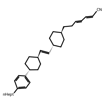 CCCCCCCc1ccc([C@H]2CC[C@H](C=C[C@H]3CC[C@H](CCC=CC=CC#N)CC3)CC2)cc1